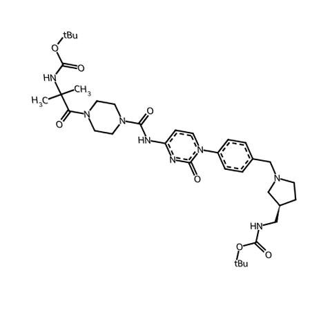 CC(C)(C)OC(=O)NC[C@@H]1CCN(Cc2ccc(-n3ccc(NC(=O)N4CCN(C(=O)C(C)(C)NC(=O)OC(C)(C)C)CC4)nc3=O)cc2)C1